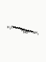 CCCCCCCCCCCCNCC(O)CNCCCN